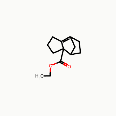 CCOC(=O)C12CCCC1=C1CCC2C1